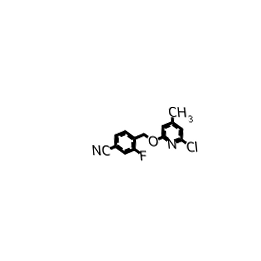 Cc1cc(Cl)nc(OCc2ccc(C#N)cc2F)c1